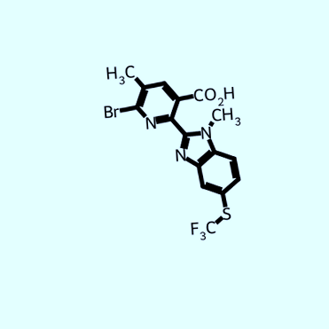 Cc1cc(C(=O)O)c(-c2nc3cc(SC(F)(F)F)ccc3n2C)nc1Br